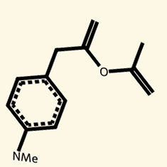 C=C(C)OC(=C)Cc1ccc(NC)cc1